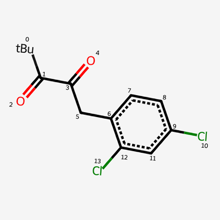 CC(C)(C)C(=O)C(=O)Cc1ccc(Cl)cc1Cl